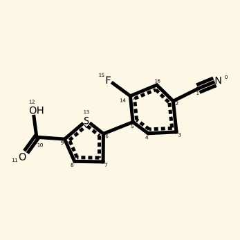 N#Cc1ccc(-c2ccc(C(=O)O)s2)c(F)c1